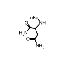 CCCCN[C@@H](CC(N)=O)C(N)=O